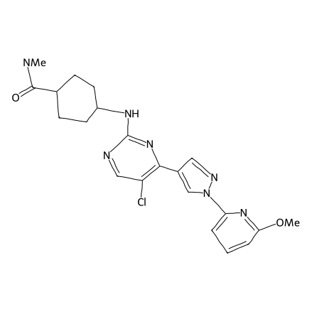 CNC(=O)C1CCC(Nc2ncc(Cl)c(-c3cnn(-c4cccc(OC)n4)c3)n2)CC1